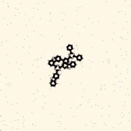 c1ccc(-c2nc(-c3ccccc3)nc(-c3cccc(-c4ccc5oc6cccc(-c7nc(-c8ccc9c(c8)oc8ccccc89)nc(-c8ccc9c(c8)oc8ccccc89)n7)c6c5c4)c3)n2)cc1